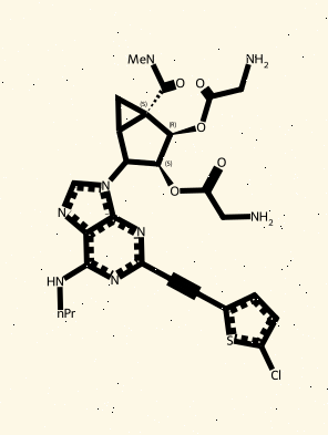 CCCNc1nc(C#Cc2ccc(Cl)s2)nc2c1ncn2C1C2C[C@@]2(C(=O)NC)[C@@H](OC(=O)CN)[C@H]1OC(=O)CN